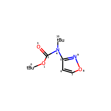 CC(C)(C)OC(=O)N(c1ccon1)C(C)(C)C